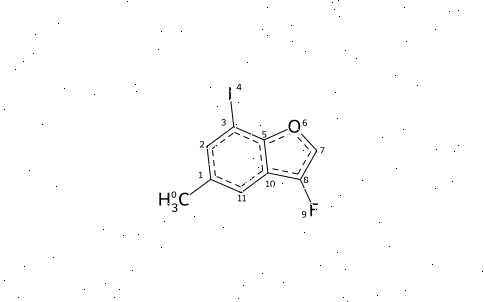 Cc1cc(I)c2occ(F)c2c1